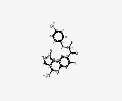 Cc1cc2nc(N)c3cnn(C)c3c2cc1C(=O)N(C)Cc1ccc(Br)cc1